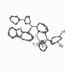 CC(C)(C)c1cc(N(c2ccccc2)c2cccc(N(c3cccc(-c4cccnc4)c3)c3cccc4c3sc3ccccc34)c2OS(=O)(=O)C(F)(F)F)cc(C(C)(C)C)c1